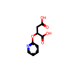 O=C(O)CC(Oc1ccccn1)C(=O)O